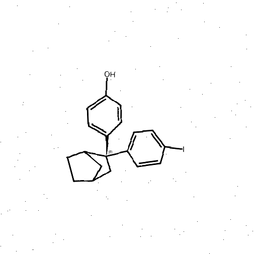 Oc1ccc([C@@]2(c3ccc(I)cc3)CC3CCC2C3)cc1